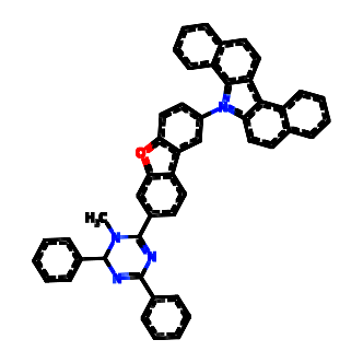 CN1C(c2ccc3c(c2)oc2ccc(-n4c5ccc6ccccc6c5c5ccc6ccccc6c54)cc23)=NC(c2ccccc2)=NC1c1ccccc1